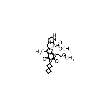 COCCn1c(=O)n(C2CC3(CCC3)C2)c(=O)c2c(C)c(CN3CCNC3=NC(=O)OC)sc21